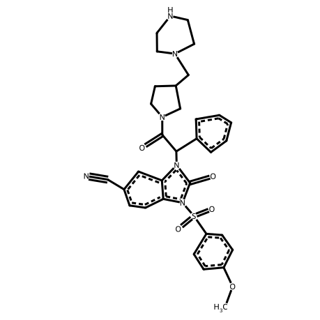 COc1ccc(S(=O)(=O)n2c(=O)n(C(C(=O)N3CCC(CN4CCNCC4)C3)c3ccccc3)c3cc(C#N)ccc32)cc1